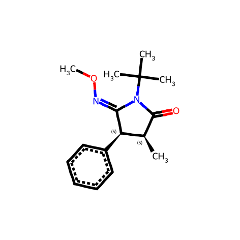 CON=C1[C@H](c2ccccc2)[C@H](C)C(=O)N1C(C)(C)C